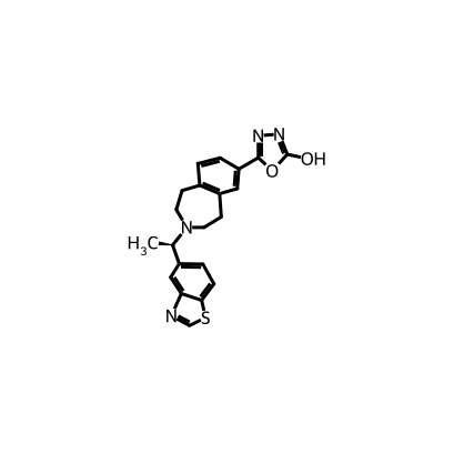 C[C@H](c1ccc2scnc2c1)N1CCc2ccc(-c3nnc(O)o3)cc2CC1